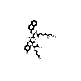 CC[C@H](N)COCC(=O)N[C@H](Cc1ccc2ccccc2c1)C(=O)N(C)[C@H](Cc1ccc(F)cc1)C(=O)N[C@@H](CCCCN)C(N)=O